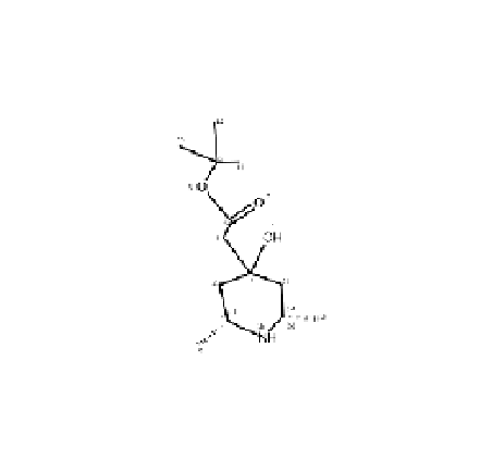 C[C@@H]1CC(O)(CC(=O)OC(C)(C)C)C[C@H](C)N1